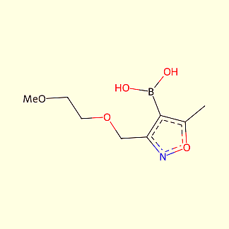 COCCOCc1noc(C)c1B(O)O